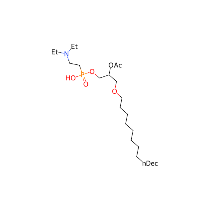 CCCCCCCCCCCCCCCCCCOCC(COP(=O)(O)CCN(CC)CC)OC(C)=O